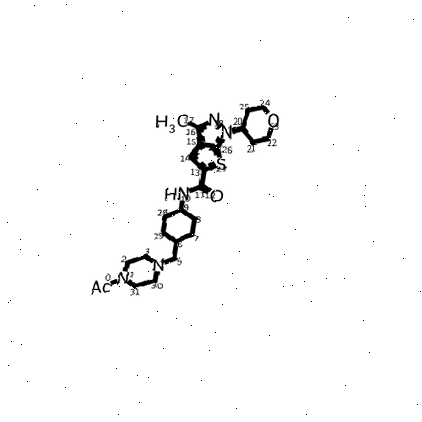 CC(=O)N1CCN(CC2CCC(NC(=O)c3cc4c(C)nn(C5CCOCC5)c4s3)CC2)CC1